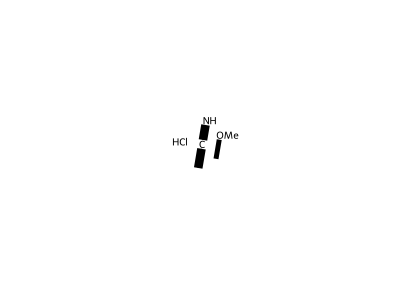 C=C=N.COC.Cl